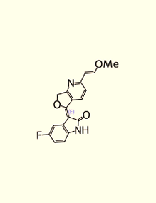 COC=Cc1ccc2c(n1)CO/C2=C1/C(=O)Nc2ccc(F)cc21